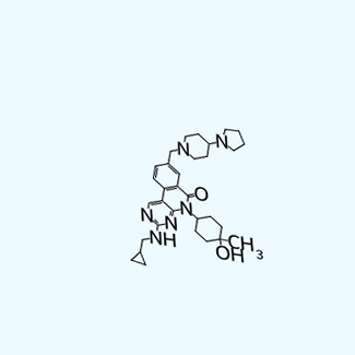 CC1(O)CCC(n2c(=O)c3cc(CN4CCC(N5CCCC5)CC4)ccc3c3cnc(NCC4CC4)nc32)CC1